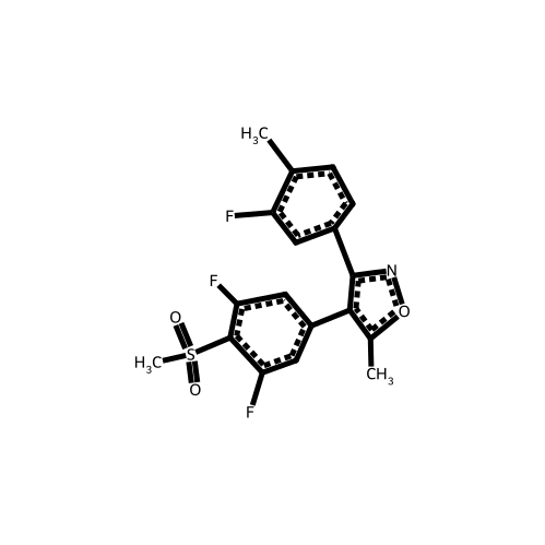 Cc1ccc(-c2noc(C)c2-c2cc(F)c(S(C)(=O)=O)c(F)c2)cc1F